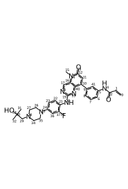 C=CC(=O)Nc1cccc(-c2cc(=O)n(C)c3cnc(Nc4ccc(N5CCN(CC(C)(C)O)CC5)cc4F)nc23)c1